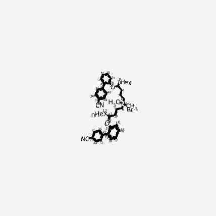 CCCCCCC(CCC[N+](C)(C)CCCC(CCCCCC)Oc1ccccc1-c1ccc(C#N)cc1)Oc1ccccc1-c1ccc(C#N)cc1.[Br-]